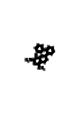 CC1=C2CCC(c3ccccc3-c3cccnc3)CC2NC(N)=N1